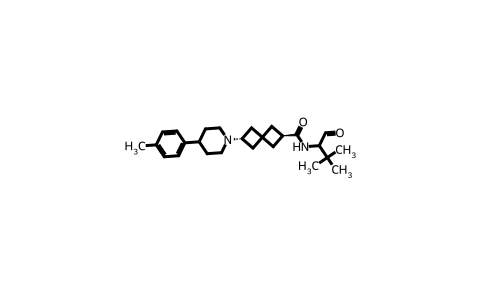 Cc1ccc(C2CCN([C@H]3CC4(C[C@H](C(=O)NC(C=O)C(C)(C)C)C4)C3)CC2)cc1